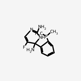 CP(C)c1ccccc1C1(N)NC(N)=NC=C1F